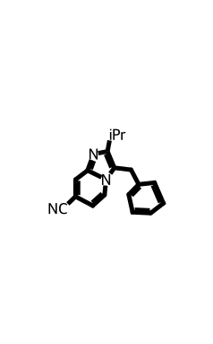 CC(C)c1nc2cc(C#N)ccn2c1Cc1ccccc1